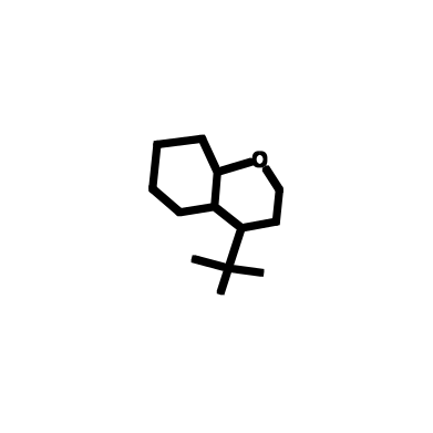 CC(C)(C)C1CCOC2CCCCC21